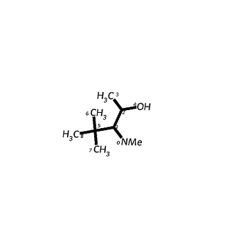 CNC(C(C)O)C(C)(C)C